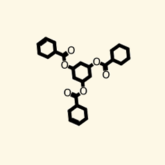 O=C(OC1CC(OC(=O)C2CC=CCC2)CC(OC(=O)C2CCCCC2)C1)C1CC=CCC1